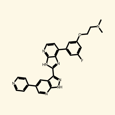 CN(C)CCOc1cc(F)cc(-c2ccnc3[nH]c(-c4n[nH]c5ncc(-c6ccncc6)cc45)nc23)c1